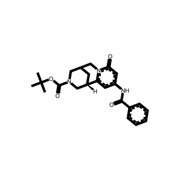 CC(C)(C)OC(=O)N1CC2C[C@@H](C1)c1cc(NC(=O)c3ccccc3)cc(=O)n1C2